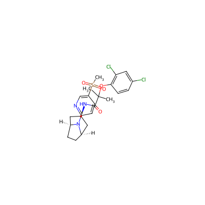 CC(C)(Oc1ccc(Cl)cc1Cl)C(=O)N[C@H]1C[C@H]2CC[C@@H](C1)N2c1ccc(S(C)(=O)=O)cn1